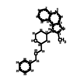 Cc1nc2cnc3ccccc3c2n1C1CCOC(COCc2ccccc2)C1